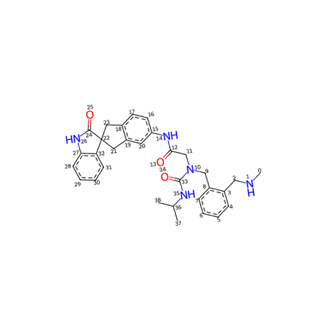 CNCc1ccccc1CN(CC(=O)Nc1ccc2c(c1)CC1(C2)C(=O)Nc2ccccc21)C(=O)NC(C)C